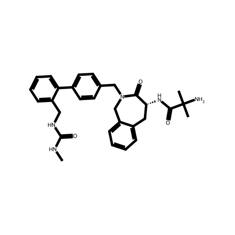 CNC(=O)NCc1ccccc1-c1ccc(CN2Cc3ccccc3C[C@@H](NC(=O)C(C)(C)N)C2=O)cc1